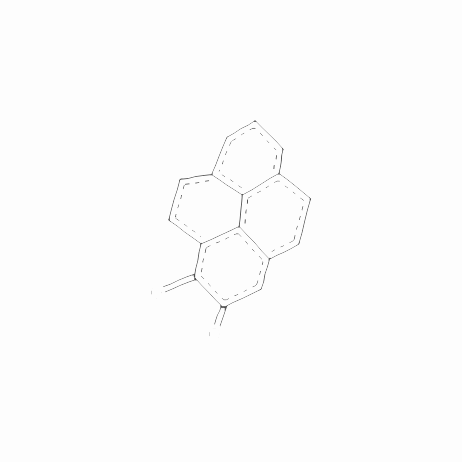 O=c1cc2ccc3cccc4ccc(c1=O)c2c34